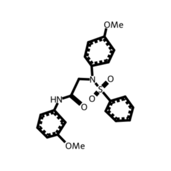 COc1ccc(N(CC(=O)Nc2cccc(OC)c2)S(=O)(=O)c2ccccc2)cc1